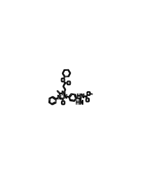 COC(=O)NC(=N)c1ccc(N2C(=O)N(c3ccccc3)C(C)N2CCC(=O)OC2CCCCC2)cc1